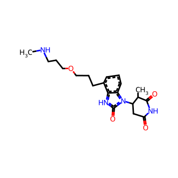 CNCCCOCCCc1cccc2c1[nH]c(=O)n2C1CC(=O)NC(=O)C1C